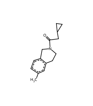 Cc1ccc2c(c1)CCN(C(=O)CC1CC1)C2